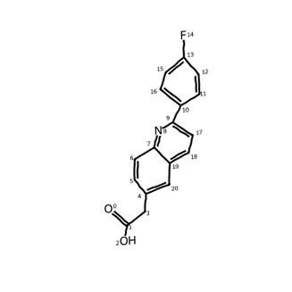 O=C(O)Cc1ccc2nc(-c3ccc(F)cc3)ccc2c1